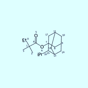 CCC(C)(C)C(=O)OC12CC3CC(CC(C3)C1C(C)C)C2